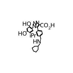 CC(C)c1cc(-n2nnc(C(=O)O)c2-c2ccc(CNCC3CCCCC3)cc2)c(O)cc1O